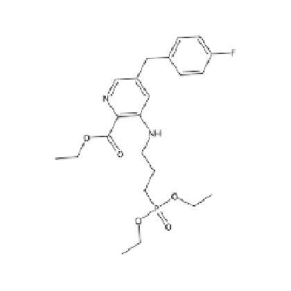 CCOC(=O)c1ncc(Cc2ccc(F)cc2)cc1NCCCP(=O)(OCC)OCC